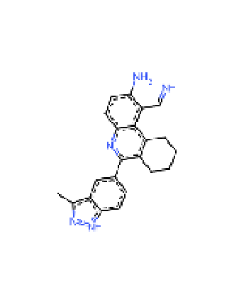 Cc1n[nH]c2ccc(-c3nc4ccc(N)c(C=N)c4c4c3CCCC4)cc12